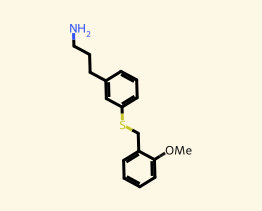 COc1ccccc1CSc1cccc(CCCN)c1